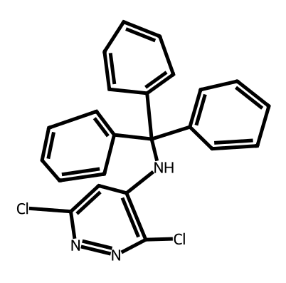 Clc1cc(NC(c2ccccc2)(c2ccccc2)c2ccccc2)c(Cl)nn1